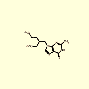 CC(=O)OCCC(COC(C)=O)Cn1cnc2c(=O)[nH]c(N)nc21